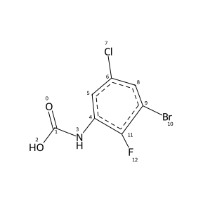 O=C(O)Nc1cc(Cl)cc(Br)c1F